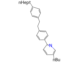 CCCCCCCc1ccc(CCc2ccc(-c3ccc(CCCC)cn3)cc2)cc1